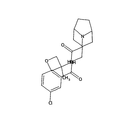 CC1(NC(=O)CN2C3CCC2CC(CNC(=O)c2cccc(Cl)c2)C3)COC1